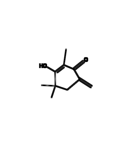 C=C1CC(C)(C)C(O)=C(C)C1=O